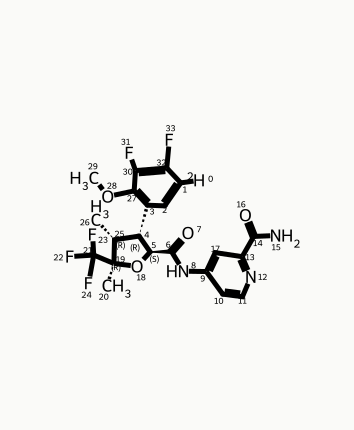 [2H]c1cc([C@@H]2[C@@H](C(=O)Nc3ccnc(C(N)=O)c3)O[C@@](C)(C(F)(F)F)[C@@H]2C)c(OC)c(F)c1F